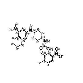 Cc1ccc([N+](=O)[O-])c(NC(=O)N[C@H]2CC[C@@H](Nc3nc4c(c(N(C)C)n3)CCCC4)CC2)c1C